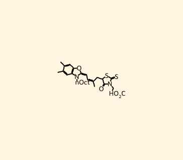 CCCCCCCCN1C(=CC=C(C)CC2SC(=S)N(CC(=O)O)C2=O)Oc2cc(C)c(C)cc21